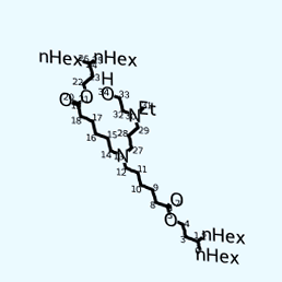 CCCCCCC(CCCCCC)CCOC(=O)CCCCCN(CCCCCC(=O)OCCC(CCCCCC)CCCCCC)CCCN(CC)CCO